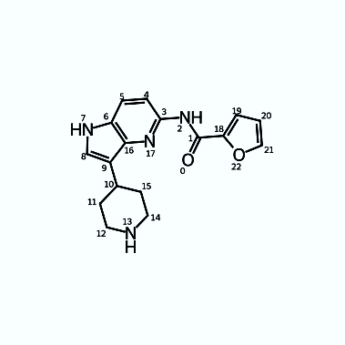 O=C(Nc1ccc2[nH]cc(C3CCNCC3)c2n1)c1ccco1